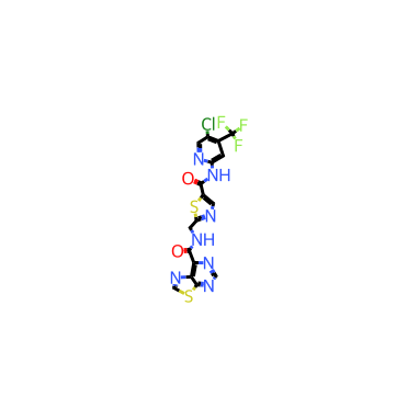 O=C(Nc1cc(C(F)(F)F)c(Cl)cn1)c1cnc(CNC(=O)c2ncnc3scnc23)s1